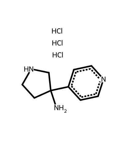 Cl.Cl.Cl.NC1(c2ccncc2)CCNC1